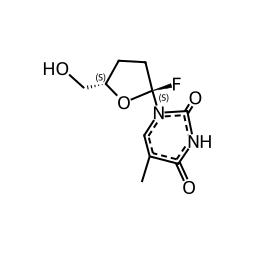 Cc1cn([C@@]2(F)CC[C@@H](CO)O2)c(=O)[nH]c1=O